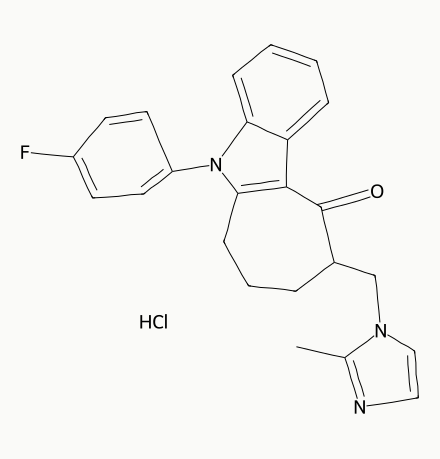 Cc1nccn1CC1CCCc2c(c3ccccc3n2-c2ccc(F)cc2)C1=O.Cl